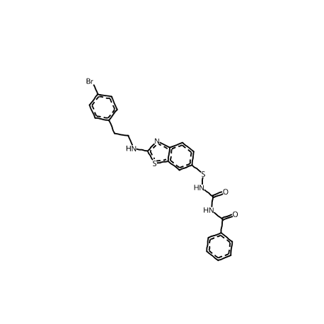 O=C(NSc1ccc2nc(NCCc3ccc(Br)cc3)sc2c1)NC(=O)c1ccccc1